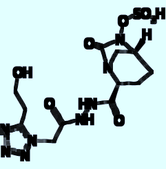 O=C(Cn1nnnc1CCO)NNC(=O)[C@@H]1CC[C@@H]2CN1C(=O)N2OS(=O)(=O)O